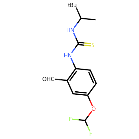 CC(NC(=S)Nc1ccc(OC(F)F)cc1C=O)C(C)(C)C